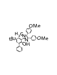 COc1ccc(-c2nc(-c3cc(C(C)(C)C)cc(-c4ccccc4)c3O)n(C)c2-c2ccc(OC)cc2)cc1